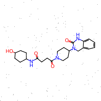 O=C(CCC(=O)N1CCC(N2Cc3ccccc3NC2=O)CC1)NC1CCC(O)CC1